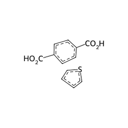 O=C(O)c1ccc(C(=O)O)cc1.c1ccsc1